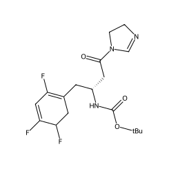 CC(C)(C)OC(=O)N[C@@H](CC(=O)N1C=NCC1)CC1=C(F)C=C(F)C(F)C1